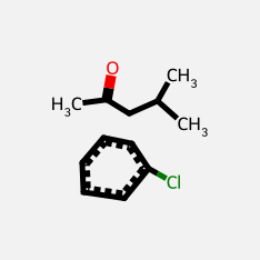 CC(=O)CC(C)C.Clc1ccccc1